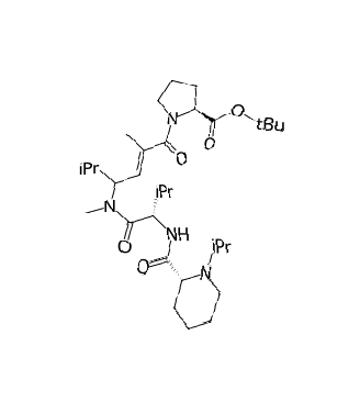 C/C(=C\C(C(C)C)N(C)C(=O)[C@@H](NC(=O)[C@H]1CCCCN1C(C)C)C(C)C)C(=O)N1CCC[C@H]1C(=O)OC(C)(C)C